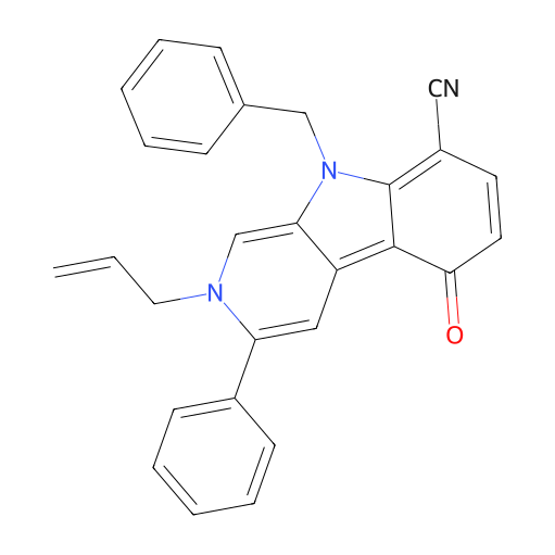 C=CCn1cc2c(cc1-c1ccccc1)c1c(=O)ccc(C#N)c1n2Cc1ccccc1